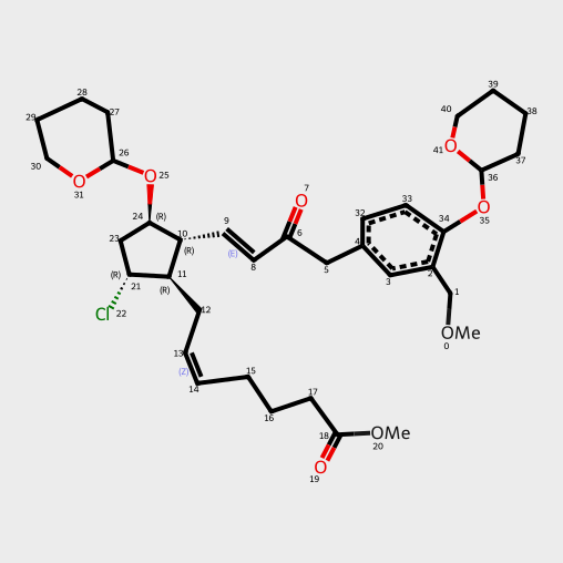 COCc1cc(CC(=O)/C=C/[C@@H]2[C@@H](C/C=C\CCCC(=O)OC)[C@H](Cl)C[C@H]2OC2CCCCO2)ccc1OC1CCCCO1